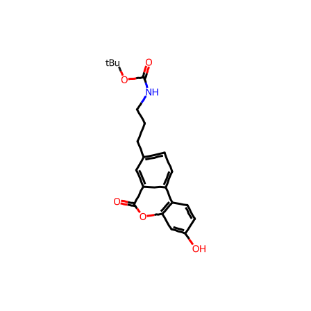 CC(C)(C)OC(=O)NCCCc1ccc2c(c1)c(=O)oc1cc(O)ccc12